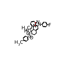 Cc1ccc(S(=O)(=O)[C@H]2CCC3=Cc4c(cnn4-c4ccc(F)cc4)C[C@]3(C(C)(O)c3ccccn3)C2)cc1